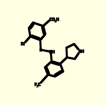 CCc1ccc(C(=O)O)cc1SNc1cc(C(F)(F)F)ccc1C1CCNC1